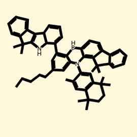 CCCCCc1cc(C2=CC=CC3C4=C(NC23)C(C)(C)c2ccccc24)c2c(c1)N(c1cc3c(cc1C)C(C)(C)CCC3(C)C)c1c(ccc3c1C(C)(C)c1ccccc1-3)B2